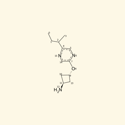 CCC(C)c1cnc(O[C@H]2C[C@H](N)C2)cn1